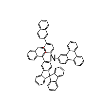 c1ccc2c(c1)-c1ccccc1C21c2ccccc2-c2cc(-c3cccc4ccccc34)c(N(c3ccc(-c4ccc5ccccc5c4)cc3)c3ccc4c5ccccc5c5ccccc5c4c3)cc21